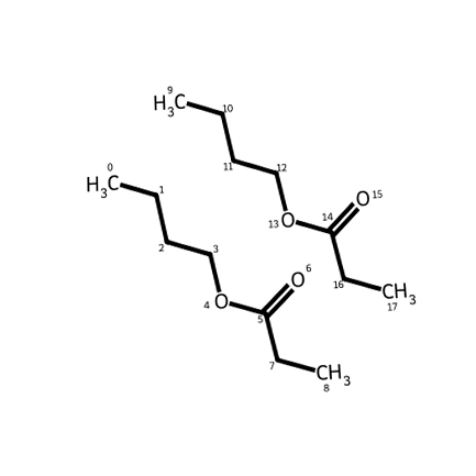 CCCCOC(=O)CC.CCCCOC(=O)CC